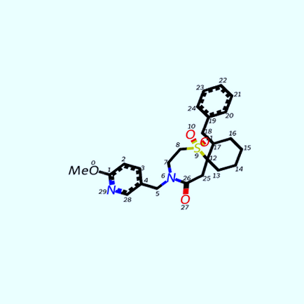 COc1ccc(CN2CCS(=O)(=O)C3(CCCCC3Cc3ccccc3)CC2=O)cn1